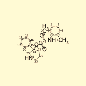 Cc1cccc(C)c1NC(=O)C(=O)OC1(c2ccccc2)CCCNC1